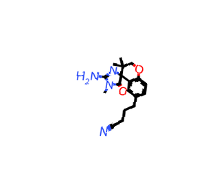 CN1C(=O)C2(N=C1N)c1cc(CCCC#N)ccc1OCC2(C)C